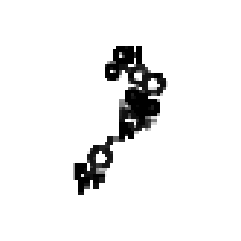 C[C@@H]1CN(CCc2ccc(C(F)(F)F)cc2)C[C@H](C)N1S(=O)(=O)c1cccc2c1CC(C(=O)O)C2